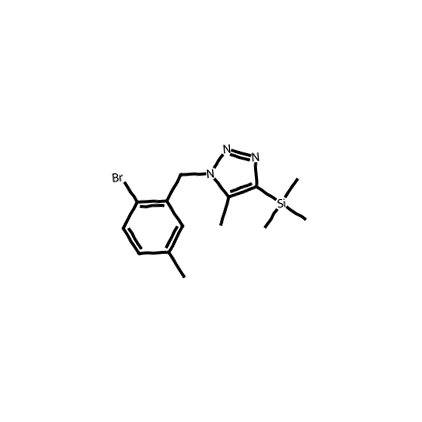 Cc1ccc(Br)c(Cn2nnc([Si](C)(C)C)c2C)c1